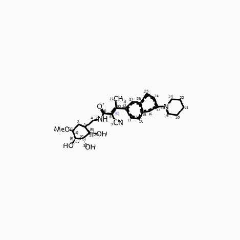 CO[C@H]1CC(CNC(=O)/C(C#N)=C(\C)c2ccc3cc(N4CCCCC4)ccc3c2)[C@@H](O)[C@H](O)[C@H]1O